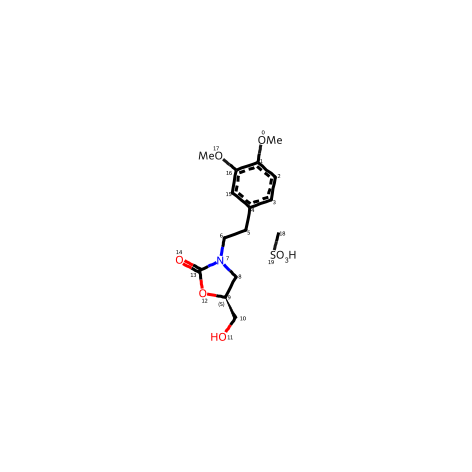 COc1ccc(CCN2C[C@@H](CO)OC2=O)cc1OC.CS(=O)(=O)O